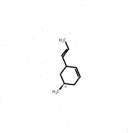 CC=CC1C=CC[C@@H](C)C1